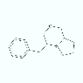 c1ccc(CC2COCC3CCCN32)cc1